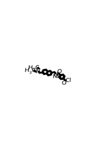 CCN(CC)Cc1ccc2cc(CN(N)C(=O)c3ccc(C(=O)Cl)cc3)ccc2c1